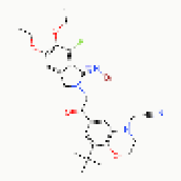 CCOc1cc2c(c(F)c1OCC)/C(=N/Br)N(CC(=O)c1cc3c(c(C(C)(C)C)c1)OCCN3CC#N)C2